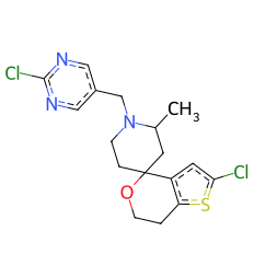 CC1CC2(CCN1Cc1cnc(Cl)nc1)OCCc1sc(Cl)cc12